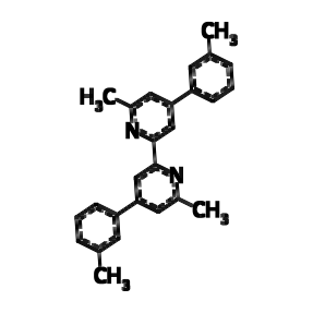 Cc1cccc(-c2cc(C)nc(-c3cc(-c4cccc(C)c4)cc(C)n3)c2)c1